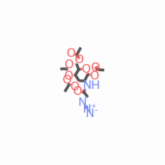 CC(=O)OCC1OC(OC(C)=O)[C@H](NC(=O)CN=[N+]=[N-])C(OC(C)=O)[C@@H]1OC(C)=O